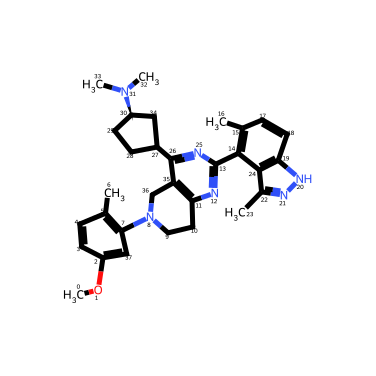 COc1ccc(C)c(N2CCc3nc(-c4c(C)ccc5[nH]nc(C)c45)nc(C4CC[C@@H](N(C)C)C4)c3C2)c1